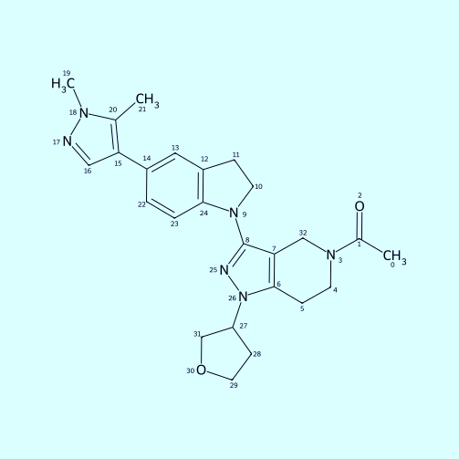 CC(=O)N1CCc2c(c(N3CCc4cc(-c5cnn(C)c5C)ccc43)nn2C2CCOC2)C1